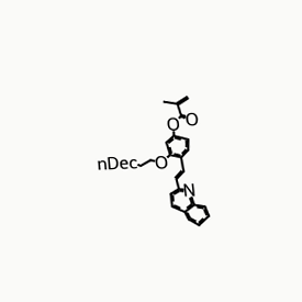 C=C(C)C(=O)Oc1ccc(C=Cc2ccc3ccccc3n2)c(OCCCCCCCCCCCC)c1